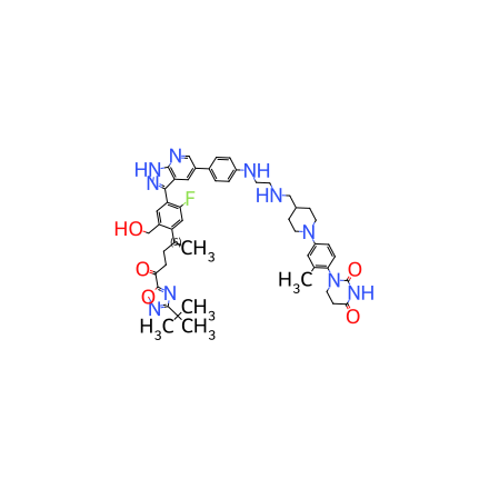 Cc1cc(N2CCC(CNCCNc3ccc(-c4cnc5[nH]nc(-c6cc(CO)c([C@@H](C)CCC(=O)c7nc(C(C)(C)C)no7)cc6F)c5c4)cc3)CC2)ccc1N1CCC(=O)NC1=O